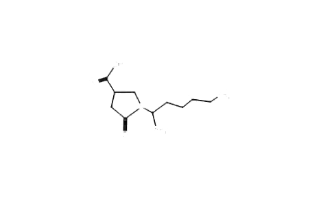 CCCCCC(N)N1CC(C(=O)O)CC1=O